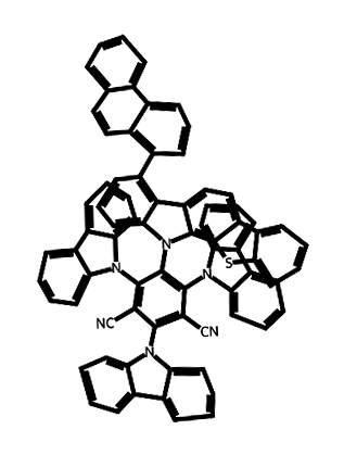 N#Cc1c(-n2c3ccccc3c3ccccc32)c(C#N)c(-n2c3ccccc3c3ccccc32)c(-n2c3cccc(-c4cccc5c4ccc4ccccc45)c3c3ccc4c5ccccc5sc4c32)c1-n1c2ccccc2c2ccccc21